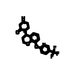 O=C1CNCCN1C1CCOc2c(Oc3ccc(C(F)(F)F)cn3)cccc21